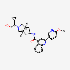 CCOc1ccc(-c2cc(C(=O)NC3C[C@@H]4CN([C@@H](CO)C5CC5)C[C@@H]4C3)c3ccccc3n2)cn1